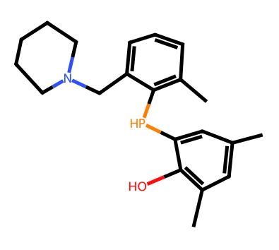 Cc1cc(C)c(O)c(Pc2c(C)cccc2CN2CCCCC2)c1